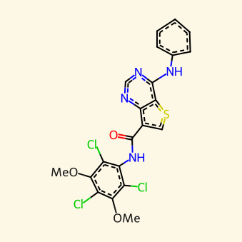 COc1c(Cl)c(NC(=O)c2csc3c(Nc4ccccc4)ncnc23)c(Cl)c(OC)c1Cl